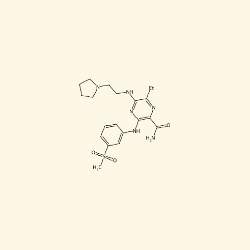 CCc1nc(C(N)=O)c(Nc2cccc(S(C)(=O)=O)c2)nc1NCCN1CCCC1